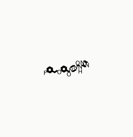 O=C(Nc1cnccn1)N1CCN(C(=O)c2cccc(OCCc3cccc(F)c3)c2)CC1